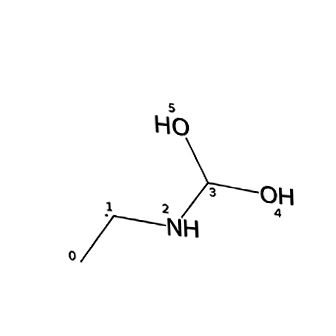 C[CH]NC(O)O